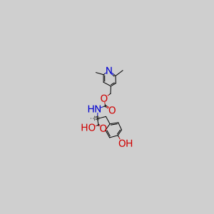 Cc1cc(COC(=O)N[C@@](C)(Cc2ccc(O)cc2)C(=O)O)cc(C)n1